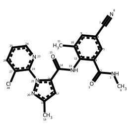 CNC(=O)c1cc(C#N)cc(C)c1NC(=O)c1cc(C)nn1-c1ncccc1Cl